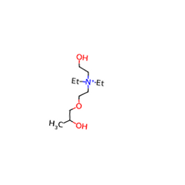 CC[N+](CC)(CCO)CCOCC(C)O